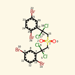 O=S(=O)(CC(Cl)(Cl)c1cc(Br)ccc1Br)CC(Cl)(Cl)c1cc(Br)ccc1Br